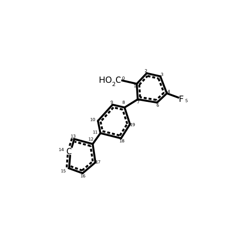 O=C(O)c1ccc(F)cc1-c1ccc(-c2ccccc2)cc1